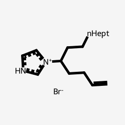 C=CCCC(CCCCCCCCC)[n+]1cc[nH]c1.[Br-]